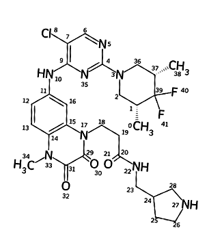 C[C@@H]1CN(c2ncc(Cl)c(Nc3ccc4c(c3)n(CCC(=O)NCC3CCNC3)c(=O)c(=O)n4C)n2)C[C@H](C)C1(F)F